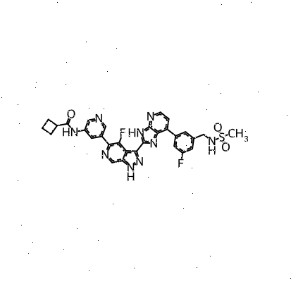 CS(=O)(=O)NCc1cc(F)cc(-c2ccnc3[nH]c(-c4n[nH]c5cnc(-c6cncc(NC(=O)C7CCC7)c6)c(F)c45)nc23)c1